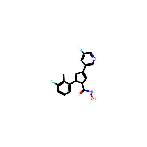 Cc1c(F)cccc1C1CC(c2cncc(F)c2)=CC1C(=O)NO